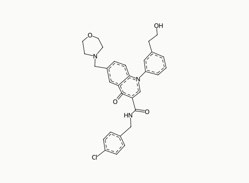 O=C(NCc1ccc(Cl)cc1)c1cn(-c2cccc(CCO)c2)c2ccc(CN3CCOCC3)cc2c1=O